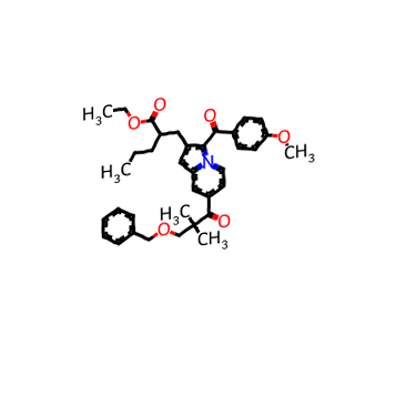 CCCC(Cc1cc2cc(C(=O)C(C)(C)COCc3ccccc3)ccn2c1C(=O)c1ccc(OC)cc1)C(=O)OCC